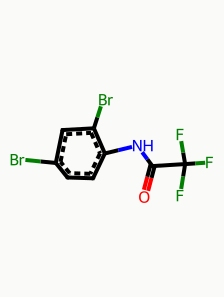 O=C(Nc1ccc(Br)cc1Br)C(F)(F)F